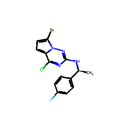 C[C@H](Nc1nc(Cl)c2ccc(Br)n2n1)c1ccc(F)cc1